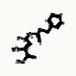 COC(=O)/C(=C/[C@@H](NC(=O)OCc1ccccc1)C(C)C)OC